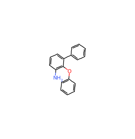 Nc1cccc(-c2ccccc2)c1Oc1ccccc1